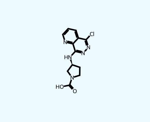 O=C(O)N1CC[C@H](Nc2nnc(Cl)c3cccnc23)C1